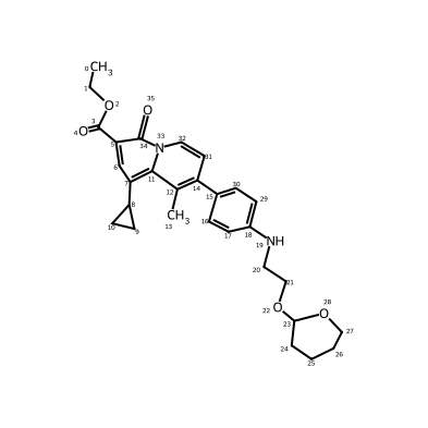 CCOC(=O)c1cc(C2CC2)c2c(C)c(-c3ccc(NCCOC4CCCCO4)cc3)ccn2c1=O